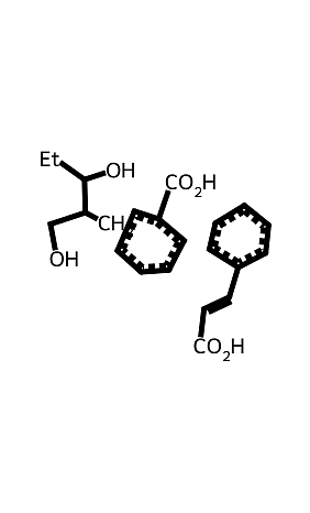 CCC(O)C(C)CO.O=C(O)C=Cc1ccccc1.O=C(O)c1ccccc1